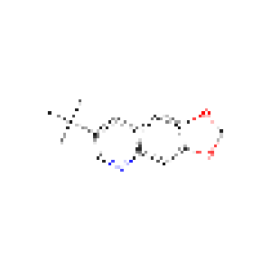 CC(C)(C)c1cnc2cc3c(cc2c1)OCO3